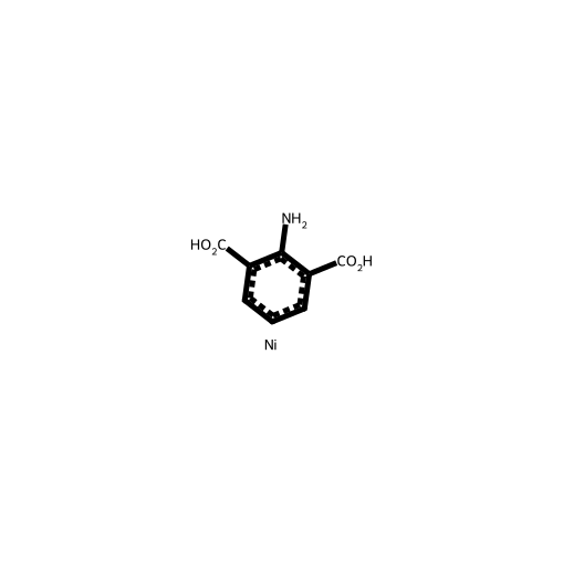 Nc1c(C(=O)O)cccc1C(=O)O.[Ni]